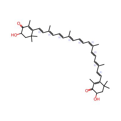 CC1=C(/C=C/C(C)=C/C=C/C(C)=C\C=C\C=C(C)\C=C\C=C(C)\C=C\C2=C(C)C(=O)C(O)CC2(C)C)C(C)(C)CC(O)C1=O